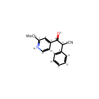 COc1cc(C(=O)C(C#N)c2ccccc2)ccn1